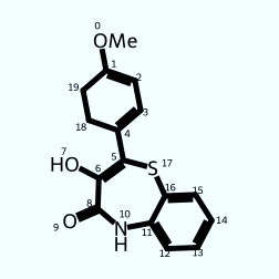 COC1=CC=C(C2=C(O)C(=O)Nc3ccccc3S2)CC1